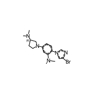 CN(C)c1cc(N2CC[C@@H](N(C)C)C2)ccc1-n1cnc(Br)c1